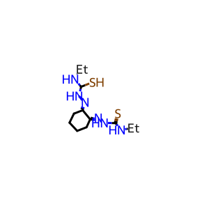 CCNC(=S)N/N=C1\CCCC\C1=N/NC(S)NCC